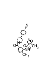 Cc1ccc(C(=O)N2CCC(c3ccc(C#N)cc3)CC2)cc1NS(=O)(=O)c1cnoc1C